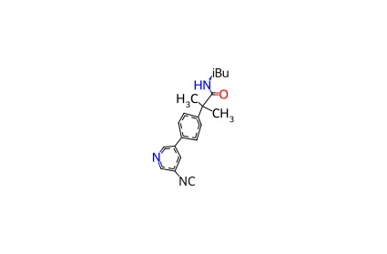 [C-]#[N+]c1cncc(-c2ccc(C(C)(C)C(=O)N[C@H](C)CC)cc2)c1